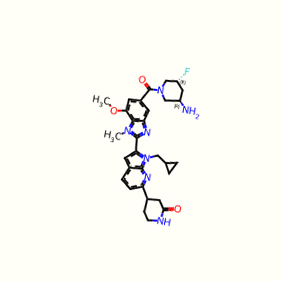 COc1cc(C(=O)N2C[C@H](N)C[C@@H](F)C2)cc2nc(-c3cc4ccc(C5CCNC(=O)C5)nc4n3CC3CC3)n(C)c12